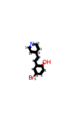 Oc1ccc(Br)cc1/C=C/c1ccncc1